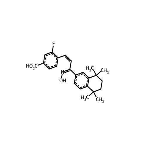 CC1(C)CCC(C)(C)c2cc(C(/C=C\c3ccc(C(=O)O)cc3F)=NO)ccc21